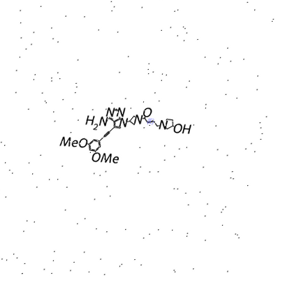 COc1cc(C#Cc2cn(C3CN(C(=O)/C=C/CN4CCC(O)C4)C3)c3ncnc(N)c23)cc(OC)c1